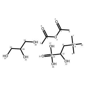 CC(=O)OC(C)=O.C[N+](C)(C)CC(O)P(=O)(O)O.OCC(O)CO